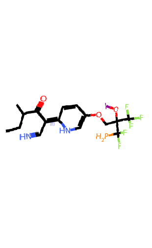 CCC(C)C(=O)/C(C=N)=C1\C=CC(OCC(OI)(C(F)(F)F)C(F)(F)P)=CN1